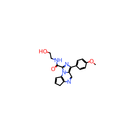 COc1ccc(-c2nc(C(=O)NCCO)n3c4c(ncc23)CC=C4)cc1